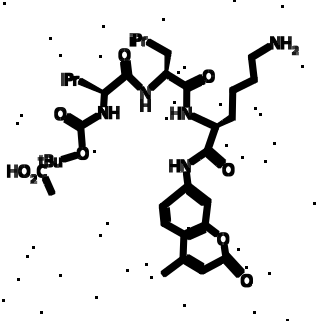 CC(=O)O.Cc1cc(=O)oc2cc(NC(=O)[C@H](CCCCN)NC(=O)[C@H](CC(C)C)NC(=O)[C@@H](NC(=O)OC(C)(C)C)C(C)C)ccc12